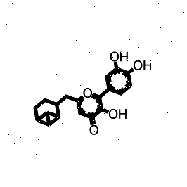 O=c1cc(CC2CCC3C4C2C34)oc(-c2ccc(O)c(O)c2)c1O